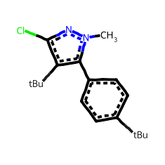 Cn1nc(Cl)c(C(C)(C)C)c1-c1ccc(C(C)(C)C)cc1